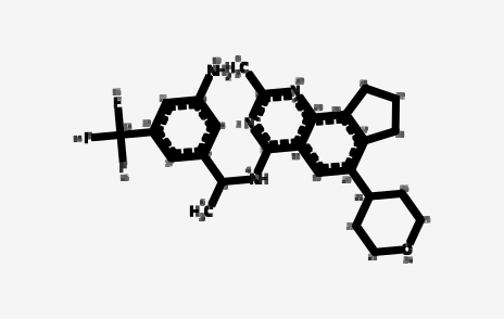 Cc1nc(NC(C)c2cc(N)cc(C(F)(F)F)c2)c2cc(C3CCOCC3)c3c(c2n1)CCC3